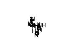 Cc1cn(-c2nccc3[nH]c(-c4n[nH]c5cnc(-c6ccncc6)cc45)cc23)cn1